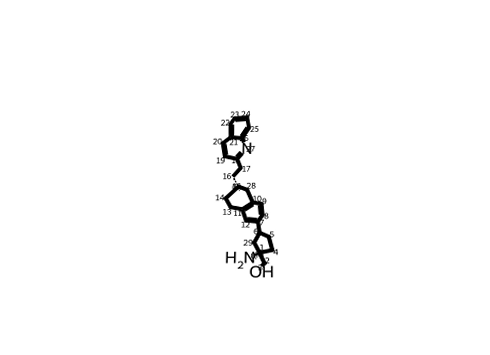 N[C@]1(CO)CCC(c2ccc3c(c2)CC[C@H](CCc2ccc4ccccc4n2)C3)C1